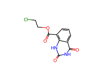 O=C(OCCCl)c1cccc2c(=O)[nH]c(=O)[nH]c12